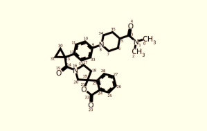 CN(C)C(=O)C1CCN(c2ccc(C3(C(=O)N4CCC5(C4)OC(=O)c4ccccc45)CC3)cc2)CC1